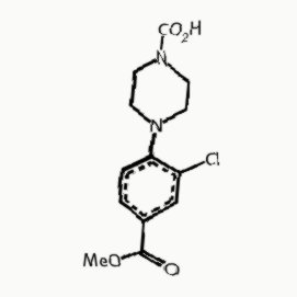 COC(=O)c1ccc(N2CCN(C(=O)O)CC2)c(Cl)c1